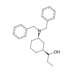 CCC(O)[C@H]1CCC[C@@H](N(Cc2ccccc2)Cc2ccccc2)C1